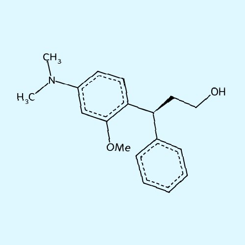 COc1cc(N(C)C)ccc1[C@@H](CCO)c1ccccc1